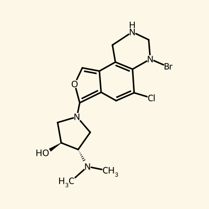 CN(C)[C@H]1CN(c2occ3c4c(c(Cl)cc23)N(Br)CNC4)C[C@@H]1O